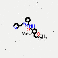 COc1c(C(=O)Nc2nn(CCc3cccnc3)c3ccccc23)ccc2c1C=CC(C)(C)O2